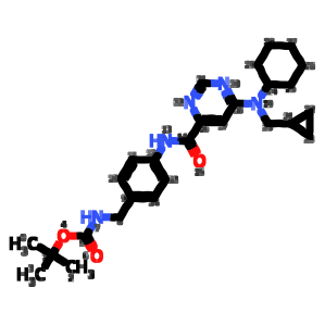 CC(C)(C)OC(=O)NCc1ccc(NC(=O)c2cc(N(CC3CC3)C3CCCCC3)ncn2)cc1